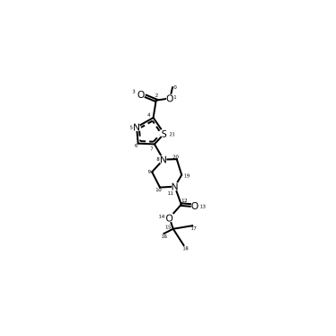 COC(=O)c1ncc(N2CCN(C(=O)OC(C)(C)C)CC2)s1